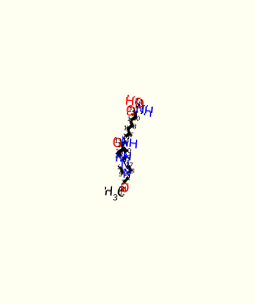 COCCN1CCN(c2ncc(C(=O)NCCCCCCC(=O)NO)cn2)CC1